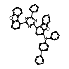 c1ccc(-c2ccc(N(c3ccccc3)c3ccc(-c4nc(-c5ccccc5)nc(-c5cccc6oc7ccccc7c56)n4)c4c3oc3ccccc34)cc2)cc1